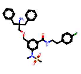 CN(c1cc(COCC(N)(Cc2ccccc2)Cc2ccccc2)cc(C(=O)NCCc2ccc(F)cc2)c1)S(C)(=O)=O